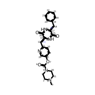 CN1CCN(C(=O)Oc2ccc(/C=c3\[nH]c(=O)/c(=C/c4ccccc4)[nH]c3=O)nc2)CC1